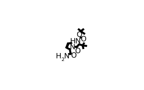 CC(C)(C)OC(=O)NC(C(=O)N1CC=CC1C(N)=O)C(C)(C)C